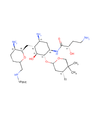 CCCCCNCC1CC[C@@H](N)[C@@H](C[C@H]2[C@H](O)[C@@H](OC3C[C@@H](CC)C(C)(C)CO3)[C@H](NC(=O)[C@@H](O)CCN)C[C@@H]2N)O1